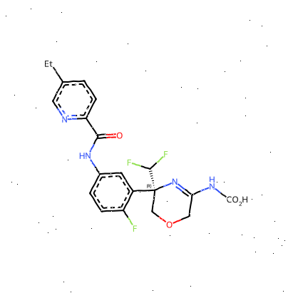 CCc1ccc(C(=O)Nc2ccc(F)c([C@]3(C(F)F)COCC(NC(=O)O)=N3)c2)nc1